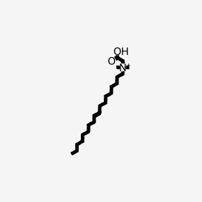 CCCCCCCC/C=C/CCCCCCCC[N+](C)(C)CC(=O)O